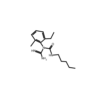 CCCCCNC(=O)N(C(=N)N)c1c(C)cccc1CC